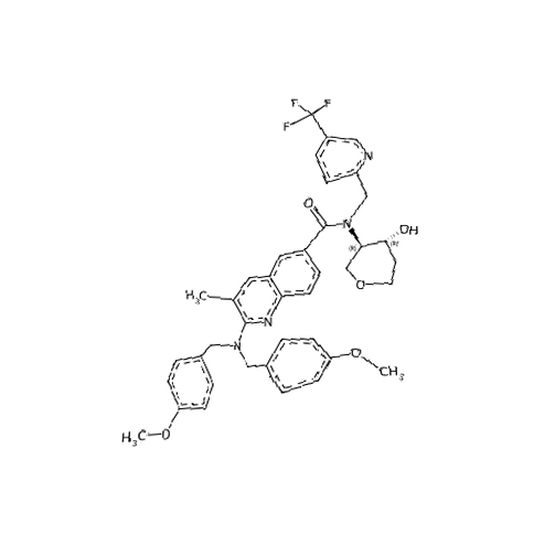 COc1ccc(CN(Cc2ccc(OC)cc2)c2nc3ccc(C(=O)N(Cc4ccc(C(F)(F)F)cn4)[C@@H]4COCC[C@H]4O)cc3cc2C)cc1